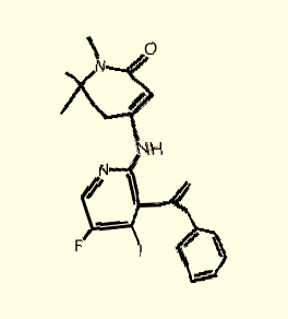 C=C(c1ccccc1)c1c(NC2=CC(=O)N(C)C(C)(C)C2)ncc(F)c1I